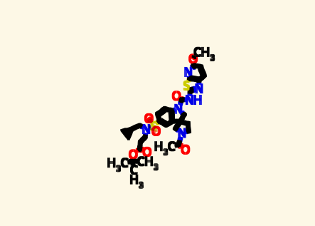 COc1ccc2nc(NC(=O)N3CC4(CCN(C(C)=O)C4)c4cc(S(=O)(=O)N(CCC(=O)OC(C)(C)C)CC5CC5)ccc43)sc2n1